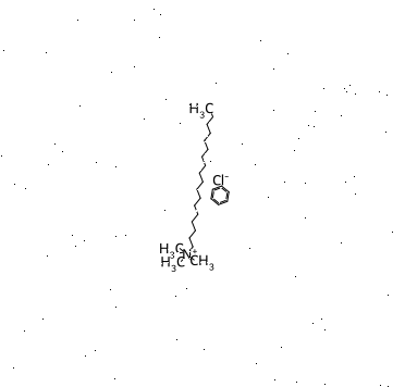 CCCCCCCCCCCCCCCCCC[N+](C)(C)C.[Cl-].c1ccccc1